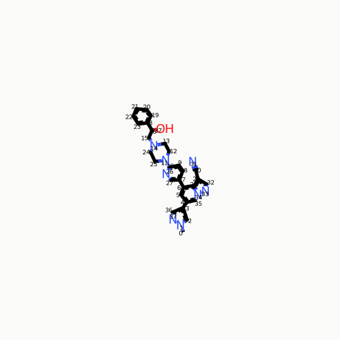 Cn1cc(-c2cc(-c3ccc(N4CCN(CC(O)c5ccccc5)CC4)nc3)c3c(C#N)cnn3c2)cn1